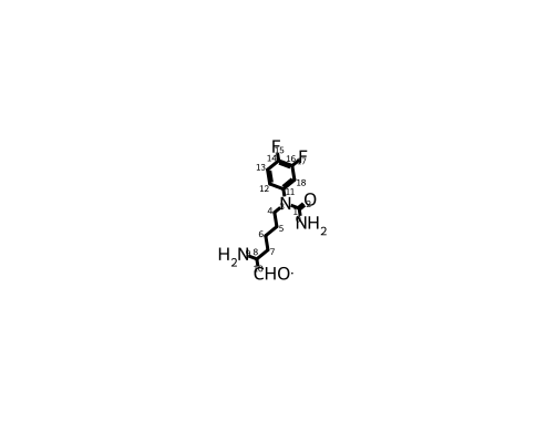 NC(=O)N(CCCCC(N)[C]=O)c1ccc(F)c(F)c1